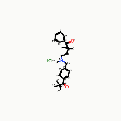 CN(CCC(C)(C)C(=O)c1ccccc1)Cc1ccc(C(=O)C(C)(C)C)cc1.Cl